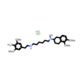 CCCN(CCCCCCNCCc1cc(OC)c(C)c(OC)c1)C1CCc2c(ccc(OC)c2OC)C1.Cl.Cl